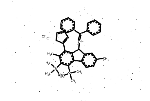 Cc1ccc2c(c1)[CH]([Zr+2]=[C](c1ccccc1)c1ccccc1)c1c(C3=CC=CC3)c(C)c([Si](C)(C)C)c([Si](C)(C)C)c1-2.[Cl-].[Cl-]